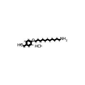 Cl.NCCCCCCCCCCCOc1ccc(CO)cc1